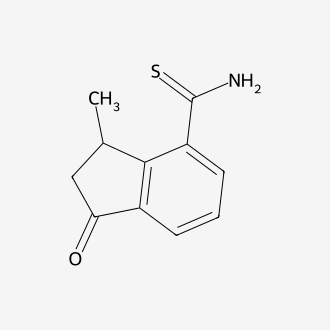 CC1CC(=O)c2cccc(C(N)=S)c21